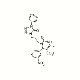 CC1=C(C(=O)O)C(c2cccc([N+](=O)[O-])c2)N(CCCn2nnn(-c3ccccc3)c2=O)C(=O)N1